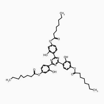 CCCCCCCC(=O)Oc1ccc(-c2nc(-c3ccc(OC(=O)CCCCCCC)cc3O)nc(-c3ccc(OC(=O)CCCCCCC)cc3O)n2)c(O)c1